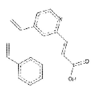 C=Cc1ccccc1.C=Cc1ccnc(C=CC(=O)O)c1